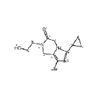 O=C1Cn2c(C3CC3)nc(Br)c2CN1CCO